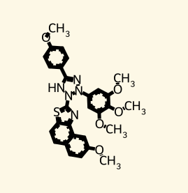 COc1ccc(C2=NN(c3cc(OC)c(OC)c(OC)c3)N(c3nc4c(ccc5ccc(OC)cc54)s3)N2)cc1